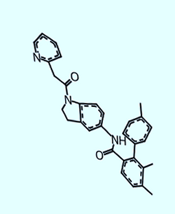 Cc1ccc(-c2c(C(=O)Nc3ccc4c(c3)CCN4C(=O)Cc3ccccn3)ccc(C)c2C)cc1